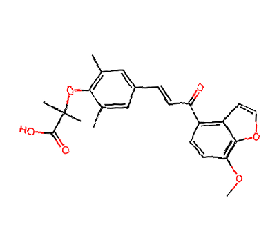 COc1ccc(C(=O)/C=C/c2cc(C)c(OC(C)(C)C(=O)O)c(C)c2)c2ccoc12